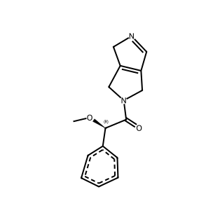 CO[C@@H](C(=O)N1CC2=C(CN=C2)C1)c1ccccc1